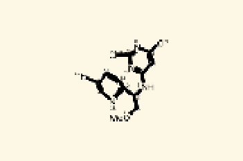 COCC(Nc1cc(Cl)nc(Cl)n1)c1ccc(F)cn1